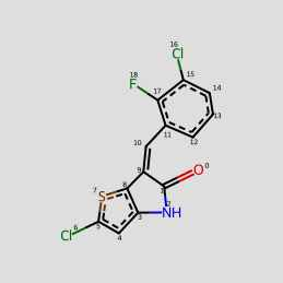 O=C1Nc2cc(Cl)sc2C1=Cc1cccc(Cl)c1F